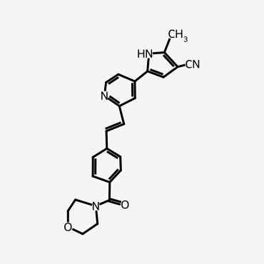 Cc1[nH]c(-c2ccnc(/C=C/c3ccc(C(=O)N4CCOCC4)cc3)c2)cc1C#N